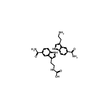 NC(=O)c1ccc2[nH]cc(CCNC(=O)O)c2c1.NCCc1c[nH]c2ccc(C(N)=O)cc12